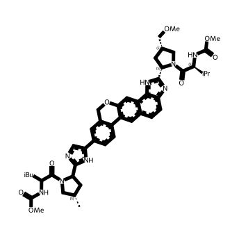 CCC(C)C(NC(=O)OC)C(=O)N1C[C@@H](C)CC1c1ncc(-c2ccc3c(c2)COc2cc4c(ccc5nc([C@@H]6C[C@H](COC)CN6C(=O)[C@@H](NC(=O)OC)C(C)C)[nH]c54)cc2-3)[nH]1